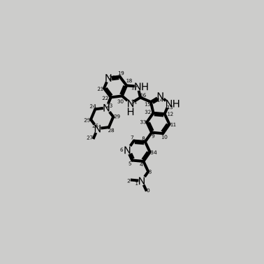 CN(C)Cc1cncc(-c2ccc3[nH]nc(C4Nc5cncc(N6CCN(C)CC6)c5N4)c3c2)c1